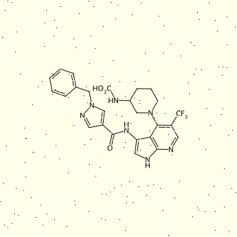 O=C(O)NC1CCCN(c2c(C(F)(F)F)cnc3[nH]cc(NC(=O)c4cnn(Cc5ccccc5)c4)c23)C1